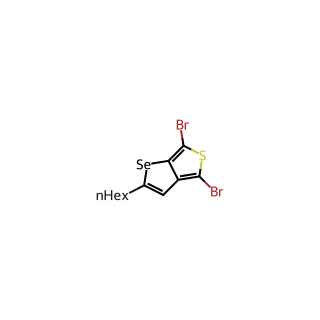 CCCCCCc1cc2c(Br)sc(Br)c2[se]1